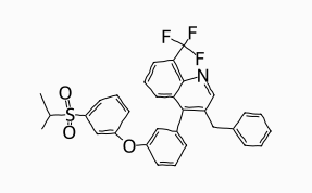 CC(C)S(=O)(=O)c1cccc(Oc2cccc(-c3c(Cc4ccccc4)cnc4c(C(F)(F)F)cccc34)c2)c1